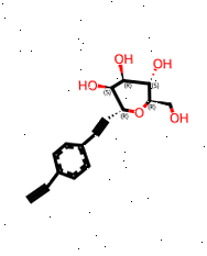 C#Cc1ccc(C#C[C@H]2O[C@H](CO)[C@@H](O)[C@H](O)[C@@H]2O)cc1